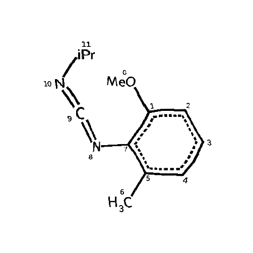 COc1cccc(C)c1N=C=NC(C)C